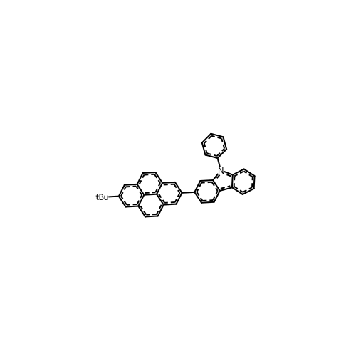 CC(C)(C)c1cc2ccc3cc(-c4ccc5c6ccccc6n(-c6ccccc6)c5c4)cc4ccc(c1)c2c34